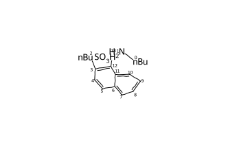 CCCCN.CCCCc1ccc2ccccc2c1S(=O)(=O)O